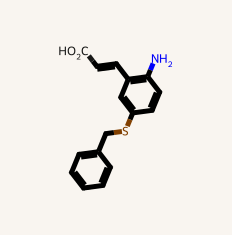 Nc1ccc(SCc2ccccc2)cc1C=CC(=O)O